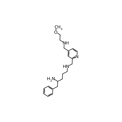 COCCNCc1ccnc(CNCCCC(N)Cc2ccccc2)c1